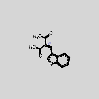 CC(=O)/C(=C/c1csc2ccccc12)C(=O)O